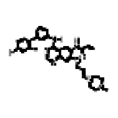 C=CC(=O)Nc1cc2c(Nc3cccc(-c4ccc(F)cc4F)c3)ncnc2cc1OCCCN1CCN(C)CC1